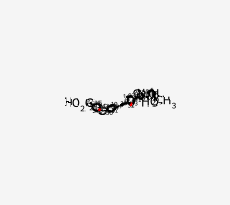 CC(O)c1nccn1Cc1cc(-c2ccc(C#Cc3ccc(OC4CCC(C(=O)O)CC4)cc3)cc2)on1